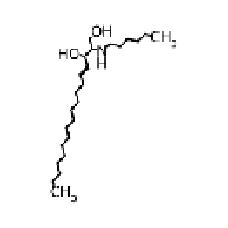 CCCCCCCCCCCCCC=CC(O)C(CO)NCCCCCC